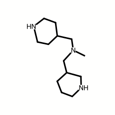 CN(CC1CCNCC1)CC1CCCNC1